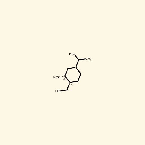 CC(C)N1CC[C@@H](CO)[C@H](O)C1